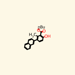 CCCCOC(=O)c1c(O)ccc(-c2ccc3ccccc3c2)c1C